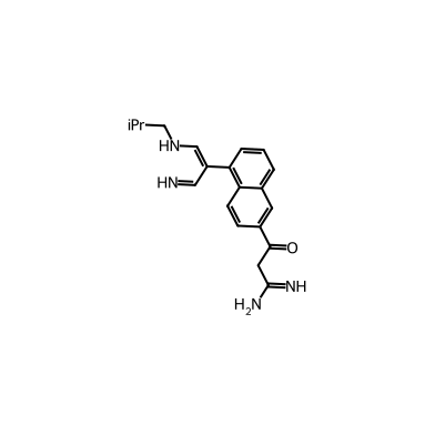 CC(C)CN/C=C(\C=N)c1cccc2cc(C(=O)CC(=N)N)ccc12